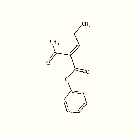 CCC=C(C(C)=O)C(=O)Oc1ccccc1